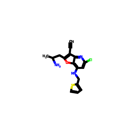 C#Cc1c(CC(C)N)oc2c(NCc3cccs3)cc(Cl)nc12